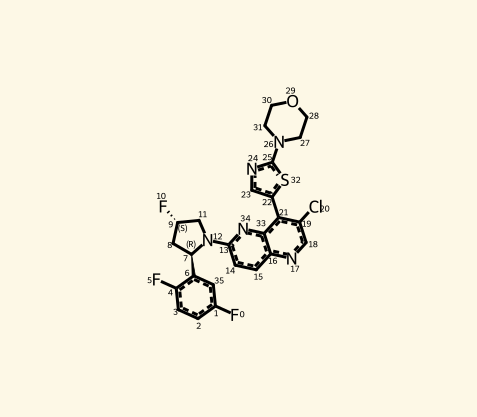 Fc1ccc(F)c([C@H]2C[C@H](F)CN2c2ccc3ncc(Cl)c(-c4cnc(N5CCOCC5)s4)c3n2)c1